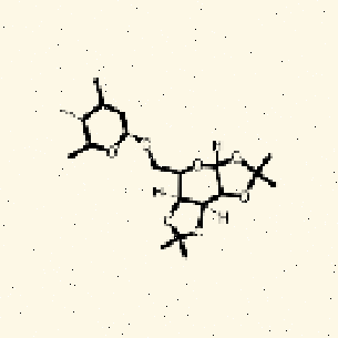 CC1C[C@@H](OCC2O[C@@H]3OC(C)(C)OC3[C@H]3OC(C)(C)O[C@@H]23)OC(C)[C@@H]1C